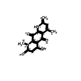 C=C1C=C(C)C2=C(N1)C(=O)c1c(c(CCC)cc(=O)n1C)C2=O